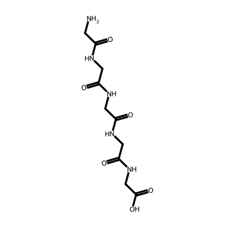 NCC(=O)NCC(=O)NCC(=O)NCC(=O)NCC(=O)O